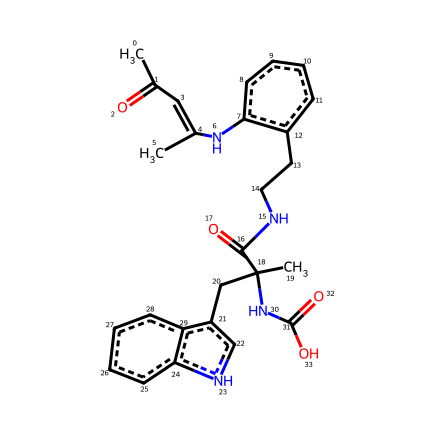 CC(=O)C=C(C)Nc1ccccc1CCNC(=O)C(C)(Cc1c[nH]c2ccccc12)NC(=O)O